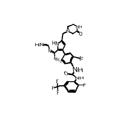 N=C/N=C(/N)c1[nH]c(CN2CCNC(=O)C2)cc1-c1ccc(NC(=O)Nc2cc(C(F)(F)F)ccc2F)c(F)c1